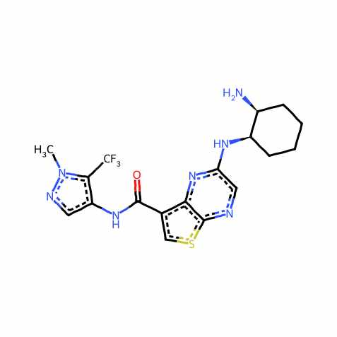 Cn1ncc(NC(=O)c2csc3ncc(N[C@@H]4CCCC[C@@H]4N)nc23)c1C(F)(F)F